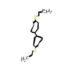 C=CCSc1ccc(-c2ccc(SCC=C)cc2)cc1